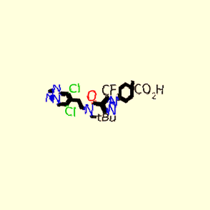 CC(C)(C)CN(CCc1c(Cl)cn2ncnc2c1Cl)C(=O)c1cnn(C2CCC(C)(C(=O)O)CC2)c1C(F)(F)F